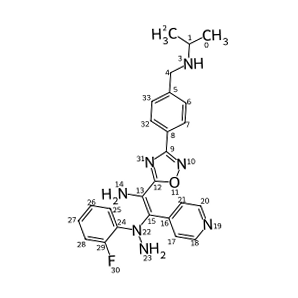 CC(C)NCc1ccc(-c2noc(/C(N)=C(\c3ccncc3)N(N)c3ccccc3F)n2)cc1